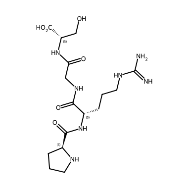 N=C(N)NCCC[C@H](NC(=O)[C@@H]1CCCN1)C(=O)NCC(=O)N[C@@H](CO)C(=O)O